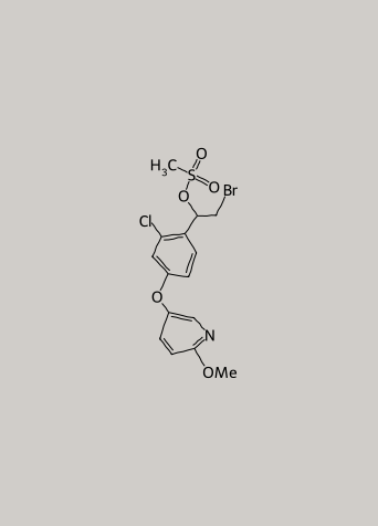 COc1ccc(Oc2ccc(C(CBr)OS(C)(=O)=O)c(Cl)c2)cn1